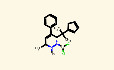 CC(C)N([NH][Cr]([Cl])[Cl])C(C)C=C(CC(C)(C)C1=CC=CC1)c1ccccc1